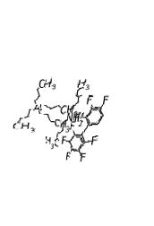 CCCC[NH2+]CCC.CCC[CH2][Al-]([CH2]CCC)([CH2]CCC)[CH2]CCC.Fc1ccc(-c2c(F)c(F)c(F)c(F)c2F)c(F)c1F